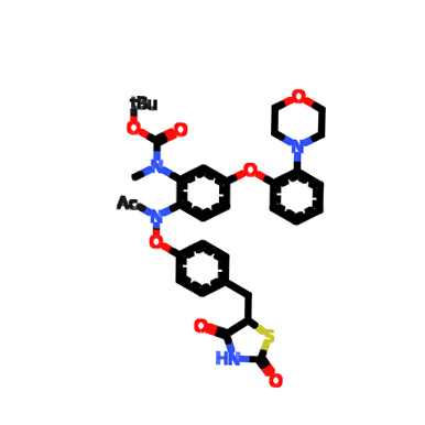 CC(=O)N(Oc1ccc(CC2SC(=O)NC2=O)cc1)c1ccc(Oc2ccccc2N2CCOCC2)cc1N(C)C(=O)OC(C)(C)C